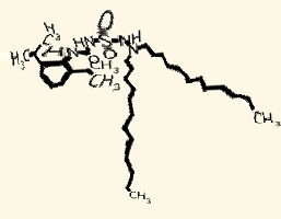 CCCCCCCCCCCCN(CCCCCCCCCCCC)NS(=O)(=O)NC(=O)Nc1c(C(C)C)cccc1C(C)C